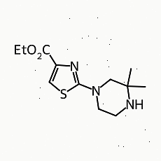 CCOC(=O)c1csc(N2CCNC(C)(C)C2)n1